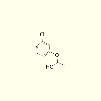 CC(O)Oc1cccc(Cl)c1